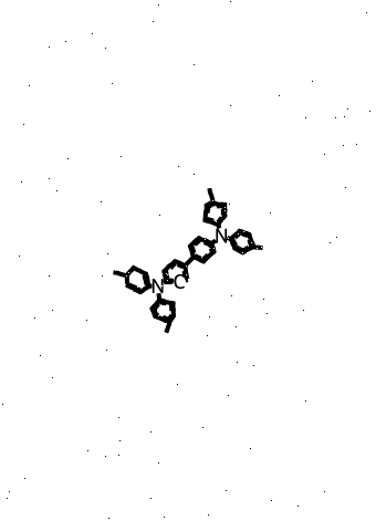 Cc1ccc(N(C2=CCC(C)C=C2)c2ccc(-c3ccc(N(c4ccc(C)cc4)c4ccc(C)cc4)cc3)cc2)cc1